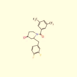 O=C1CCN(C(=O)c2cc(C(F)(F)F)cc(C(F)(F)F)c2)C(Cc2ccc(F)c(F)c2)C1